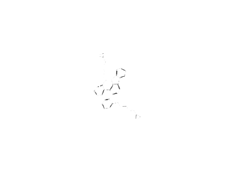 c1ccc2c(c1)Cc1c-2ccc(-c2ccccc2CCCOCC2CO2)c1-c1ccccc1CCCOCC1CO1